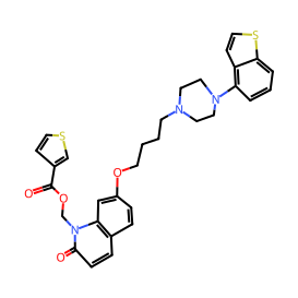 O=C(OCn1c(=O)ccc2ccc(OCCCCN3CCN(c4cccc5sccc45)CC3)cc21)c1ccsc1